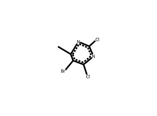 Cc1nc(Cl)nc(Cl)c1Br